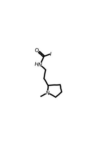 CN1CCCC1CCNC(=O)I